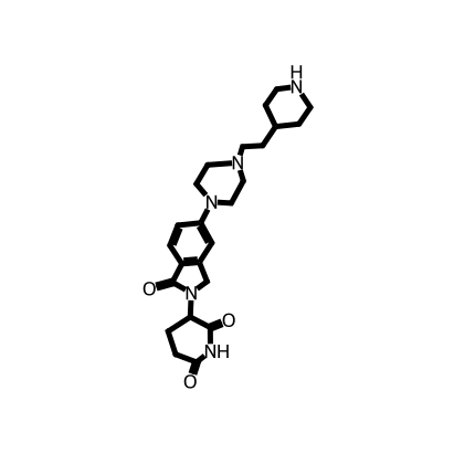 O=C1CCC(N2Cc3cc(N4CCN(CCC5CCNCC5)CC4)ccc3C2=O)C(=O)N1